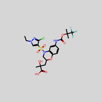 CCn1cc(S(=O)(=O)N2CC(CC(C)(O)C(=O)O)Oc3ccc(NC(=O)OC(C)(C)C(F)(F)F)cc32)c(Cl)n1